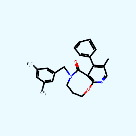 Cc1cnc2c(c1-c1ccccc1)C(=O)N(Cc1cc(C(F)(F)F)cc(C(F)(F)F)c1)CCCO2